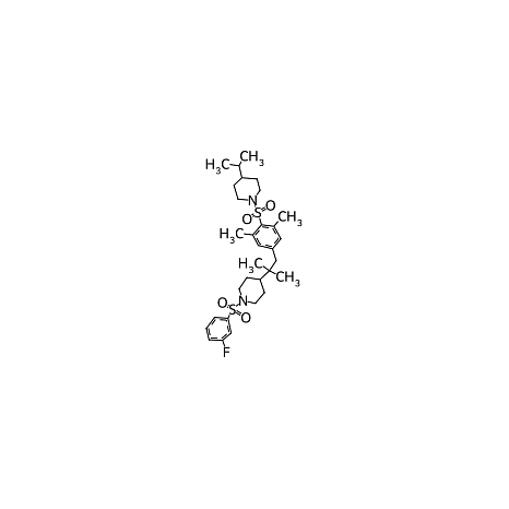 Cc1cc(CC(C)(C)C2CCN(S(=O)(=O)c3cccc(F)c3)CC2)cc(C)c1S(=O)(=O)N1CCC(C(C)C)CC1